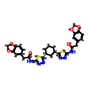 O=C(Cc1ccc2c(c1)OCO2)Nc1nnc([C@@H]2CCC[C@@H](c3nnc(NC(=O)Cc4ccc5c(c4)OCO5)s3)C2)s1